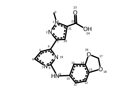 Cn1nc(-c2ccnc(Nc3ccc4c(c3)OCO4)n2)cc1C(=O)O